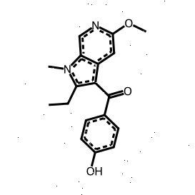 CCc1c(C(=O)c2ccc(O)cc2)c2cc(OC)ncc2n1C